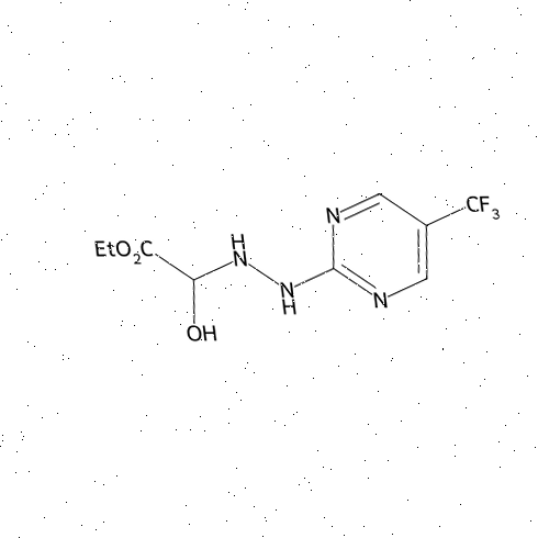 CCOC(=O)C(O)NNc1ncc(C(F)(F)F)cn1